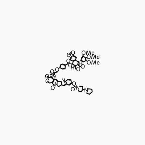 CCC1(OC(=O)COc2ccc(C(=O)OC3c4cc5c(cc4[C@@H](c4cc(OC)c(OC)c(OC)c4)[C@H]4C(=O)OC[C@H]34)OCO5)cc2)C(=O)OCc2c1cc1n(c2=O)Cc2cc3cc(OC(=O)N4CCC(N5CCCCC5)CC4)ccc3nc2-1